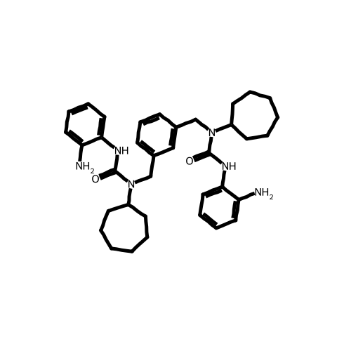 Nc1ccccc1NC(=O)N(Cc1cccc(CN(C(=O)Nc2ccccc2N)C2CCCCCC2)c1)C1CCCCCC1